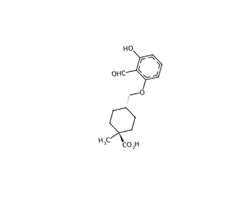 C[C@]1(C(=O)O)CC[C@H](COc2cccc(O)c2C=O)CC1